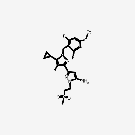 CCOc1cc(F)c(Cn2nc(-c3cc(N)n(CCS(C)(=O)=O)n3)c(C)c2C2CC2)c(F)c1